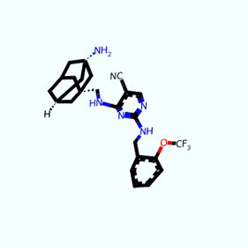 N#Cc1cnc(NCc2ccccc2OC(F)(F)F)nc1NC[C@]12CC3C[C@@H](C[C@@](N)(C3)C1)C2